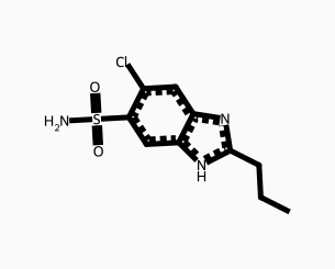 CCCc1nc2cc(Cl)c(S(N)(=O)=O)cc2[nH]1